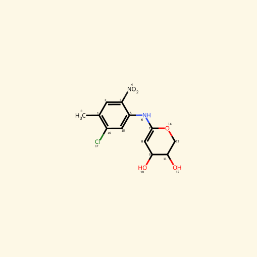 Cc1cc([N+](=O)[O-])c(NC2=CC(O)C(O)CO2)cc1Cl